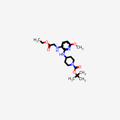 CCOC(=O)CNc1ccc(OC)nc1NC1CCN(C(=O)OC(C)(C)C)CC1